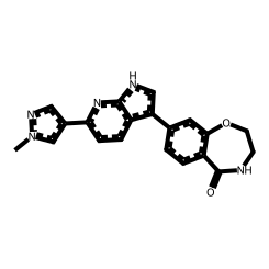 Cn1cc(-c2ccc3c(-c4ccc5c(c4)OCCNC5=O)c[nH]c3n2)cn1